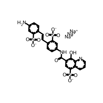 Nc1ccc(C=Cc2ccc(NC(=O)c3cc(S(=O)(=O)[O-])c4cccnc4c3O)cc2S(=O)(=O)[O-])c(S(=O)(=O)[O-])c1.[Na+].[Na+].[Na+]